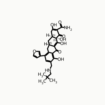 CC(C)(C)CNCc1cc(-c2ccoc2)c2c(c1O)C(=O)C1=C(O)[C@]3(O)C(=O)C(C(N)=O)=C(O)C[C@@H]3C[C@@H]1C2